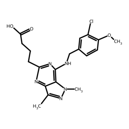 COc1ccc(CNc2nc(CCCC(=O)O)nc3c(C)nn(C)c23)cc1Cl